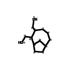 OCC1CCCC2CCC(C2)C1CO